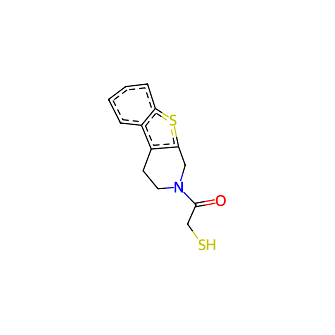 O=C(CS)N1CCc2c(sc3ccccc23)C1